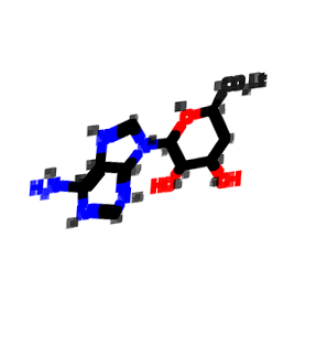 CCOC(=O)[C@H]1CC(O)C(O)C(n2cnc3c(N)ncnc32)O1